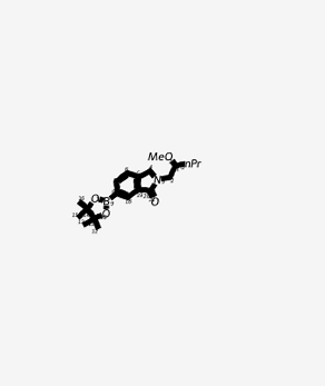 CCCC(CN1Cc2ccc(B3OC(C)(C)C(C)(C)O3)cc2C1=O)OC